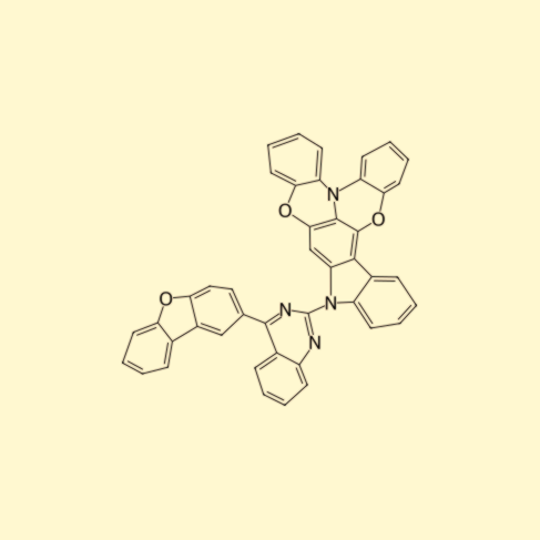 c1ccc2c(c1)Oc1cc3c(c4c1N2c1ccccc1O4)c1ccccc1n3-c1nc(-c2ccc3oc4ccccc4c3c2)c2ccccc2n1